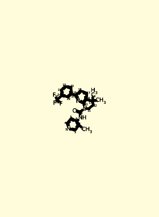 Cc1cnccc1NC(=O)N1CCC(C)(C)c2ccc(-c3cccc(C(F)(F)F)c3)nc21